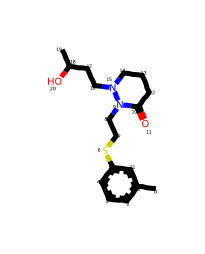 Cc1cccc(SCCN2C(=O)CCCN2CCC(C)O)c1